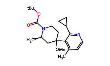 COC1(c2c(C)ccnc2C2CC2)CCN(C(=O)OC(C)(C)C)[C@H](C)C1